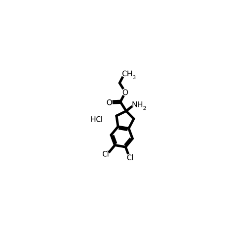 CCOC(=O)C1(N)Cc2cc(Cl)c(Cl)cc2C1.Cl